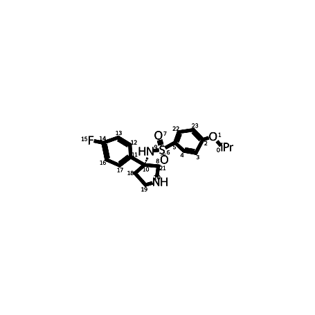 CC(C)Oc1ccc(S(=O)(=O)N[C@@]2(c3ccc(F)cc3)CCNC2)cc1